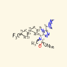 COC(=O)CN(C)Cc1nnc(CN=[N+]=[N-])n1Cc1ccc(-c2ccc(C(F)(F)F)cc2)cc1